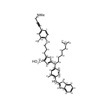 CNCC#Cc1ccc(OCCCc2sc(N(CCCCCN(C)C)c3cc(C)c(Nc4nc5ccccc5s4)nn3)nc2C(=O)O)c(F)c1